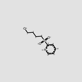 [O]CCCCS(=O)(=O)c1ccccn1